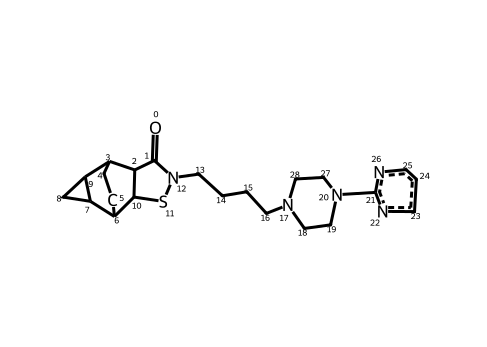 O=C1C2C3CCC(C4CC43)C2SN1CCCCN1CCN(c2ncccn2)CC1